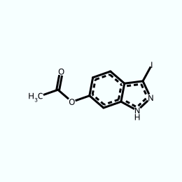 CC(=O)Oc1ccc2c(I)n[nH]c2c1